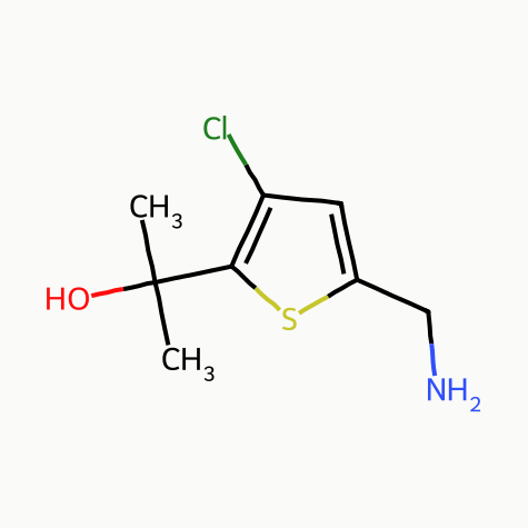 CC(C)(O)c1sc(CN)cc1Cl